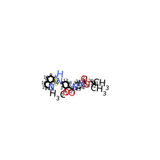 COc1cc(NSc2cccc3cccnc23)ccc1C(=O)N1CCN(C(=O)OCC(C)C)CC1